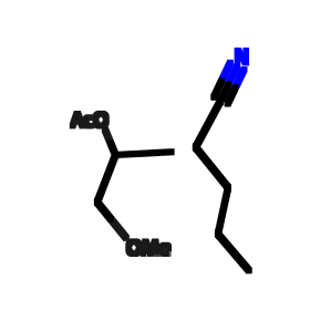 CCCCC#N.COCC(C)OC(C)=O